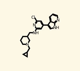 Clc1cc(-c2c[nH]c3ncccc23)cc(NCC2CCCN(CC3CC3)C2)n1